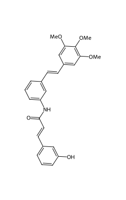 COc1cc(/C=C/c2cccc(NC(=O)/C=C/c3cccc(O)c3)c2)cc(OC)c1OC